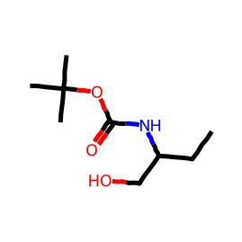 CCC(CO)NC(=O)OC(C)(C)C